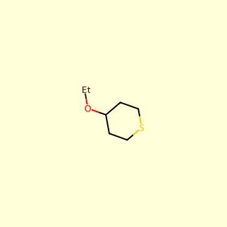 CCOC1CCSCC1